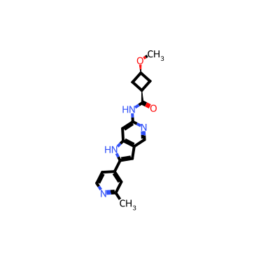 CO[C@H]1C[C@@H](C(=O)Nc2cc3[nH]c(-c4ccnc(C)c4)cc3cn2)C1